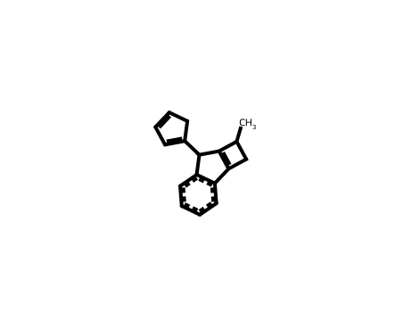 CC1CC2=C1[C](C1=CC=CC1)c1ccccc12